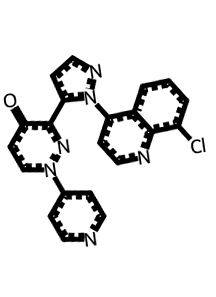 O=c1ccn(-c2ccncc2)nc1-c1ccnn1-c1ccnc2c(Cl)cccc12